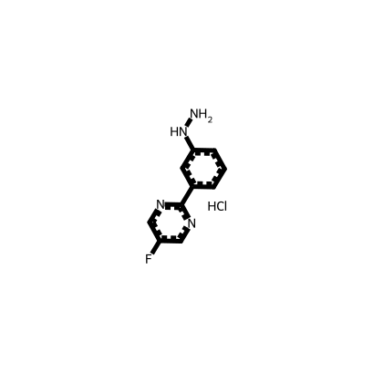 Cl.NNc1cccc(-c2ncc(F)cn2)c1